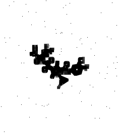 CNC(=O)C1(NC(=O)C(=O)c2c(C)c(C(=O)Nc3ccc(F)c(Cl)c3)n([C@@H]3C[C@@H]3C)c2C)CC(F)(F)C1